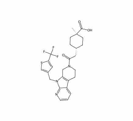 C[C@]1(C(=O)O)CC[C@H](CC(=O)N2CCc3c(n(Cc4csc(C(F)(F)F)c4)c4ncccc34)C2)CC1